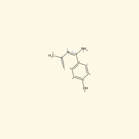 CC(=S)/N=C(/N)c1ccc(O)cc1